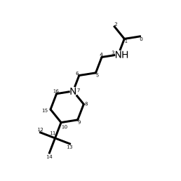 CC(C)NCCCN1CCC(C(C)(C)C)CC1